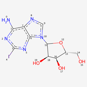 Nc1nc(I)nc2c1ncn2C1O[C@H](CO)[C@@H](O)[C@H]1O